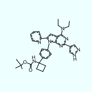 CCN(CC)c1nc(-c2cn[nH]c2)nc2c1cc(-c1ccccn1)n2-c1ccc(C2(NC(=O)OC(C)(C)C)CCC2)cc1